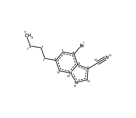 CSCCc1cc(Br)c2c(C#N)cnn2c1